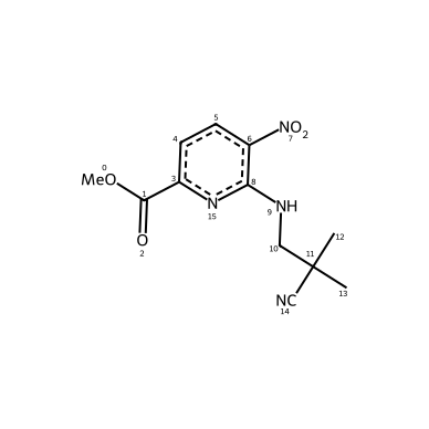 COC(=O)c1ccc([N+](=O)[O-])c(NCC(C)(C)C#N)n1